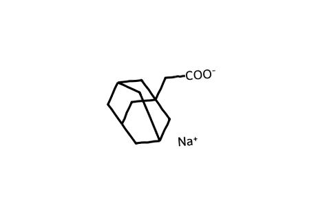 O=C([O-])CC12CC3CC(CC(C3)C1)C2.[Na+]